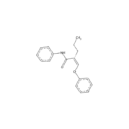 CCCC(=COc1ccccc1)C(=O)Nc1ccccc1